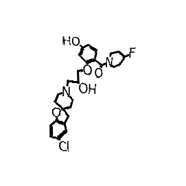 O=C(c1ccc(O)cc1OC[C@H](O)CN1CCC2(CC1)Cc1cc(Cl)ccc1O2)N1CCC(F)CC1